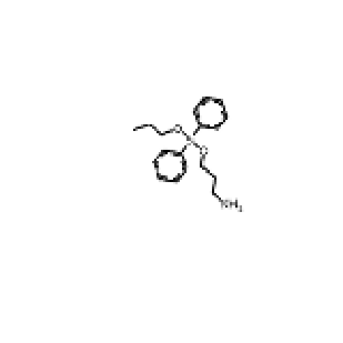 CCCO[Si](OCCCN)(c1ccccc1)c1ccccc1